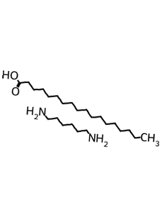 CCCCCCCCCCCCCCCCCC(=O)O.NCCCCCCN